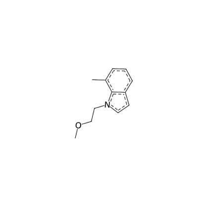 COCCn1ccc2cccc(C)c21